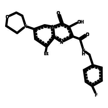 CCc1cc(N2CCOCC2)cn2c(=O)c(O)c(C(=O)NCc3ccc(F)cc3)nc12